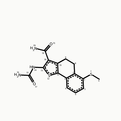 CSc1cccc2c1CCc1c-2sc(NC(N)=O)c1C(N)=O